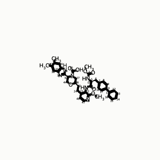 COC(=O)N[C@@H](Cc1ccc(-c2ccccc2)cc1)C(=O)Nc1c(CC[C@@H]2CN(C(=O)O)[C@H](c3nc4cc(C)c(C)cc4[nH]3)CO2)ccnc1OC